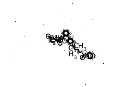 CC(C)(CCCCC(=O)N1CCOCC1)c1ccc(-c2ccccc2CNC(=O)C2CCC(=O)N2)c(O)c1